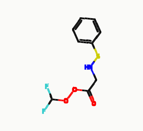 O=C(CNSc1ccccc1)OOC(F)F